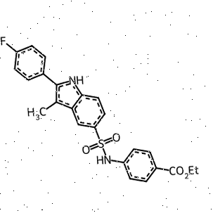 CCOC(=O)c1ccc(NS(=O)(=O)c2ccc3[nH]c(-c4ccc(F)cc4)c(C)c3c2)cc1